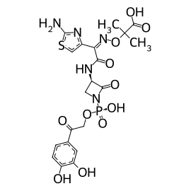 CC(C)(O/N=C(\C(=O)N[C@@H]1CN([P@@](=O)(O)OCC(=O)c2ccc(O)c(O)c2)C1=O)c1csc(N)n1)C(=O)O